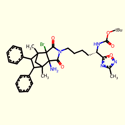 Cc1noc([C@H](CCCCN2C(=O)C3(N)C4(C)CC(C)(C(c5ccccc5)C4c4ccccc4)C3(Br)C2=O)NC(=O)OC(C)(C)C)n1